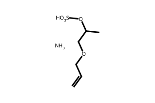 C=CCOCC(C)OS(=O)(=O)O.N